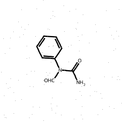 NC(=O)N([C]=O)c1ccccc1